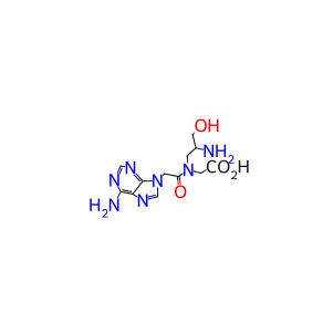 Nc1ncnc2c1ncn2CC(=O)N(CC(=O)O)CC(N)CO